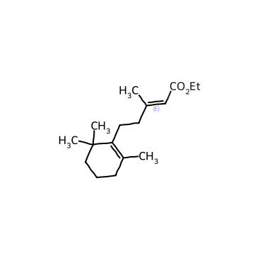 CCOC(=O)/C=C(\C)CCC1=C(C)CCCC1(C)C